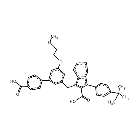 COCCOc1cc(Cn2c(C(=O)O)c(-c3ccc(C(C)(C)C)cc3)c3ccccc32)cc(-c2ccc(C(=O)O)cc2)c1